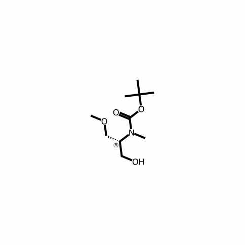 COC[C@@H](CO)N(C)C(=O)OC(C)(C)C